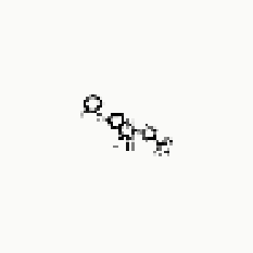 O=C(O)c1cnn(-c2nc3ccc(Oc4ccccc4F)cc3c(=O)[nH]2)c1